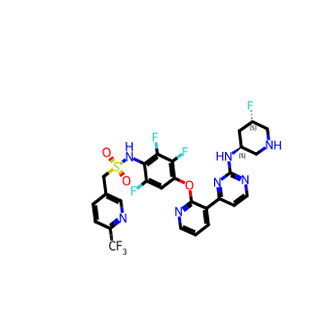 O=S(=O)(Cc1ccc(C(F)(F)F)nc1)Nc1c(F)cc(Oc2ncccc2-c2ccnc(N[C@@H]3CNC[C@@H](F)C3)n2)c(F)c1F